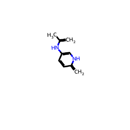 C=C(C)NC1=CNC(=C)C=C1